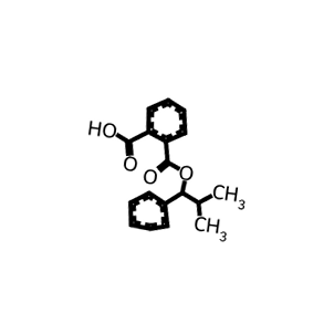 CC(C)C(OC(=O)c1ccccc1C(=O)O)c1ccccc1